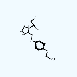 CCOC(=O)COc1ccc(OCC2SCCN2C(=O)CCl)cc1